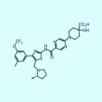 Cc1cc(OC(F)(F)F)cc(-c2nc(NC(=O)c3cnc(N4CCC(O)(C(=O)O)CC4)cn3)sc2CN2CCC[C@H]2C)c1